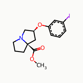 COC(=O)[C@@]12CCCN1C[C@@H](Oc1cccc(I)c1)C2